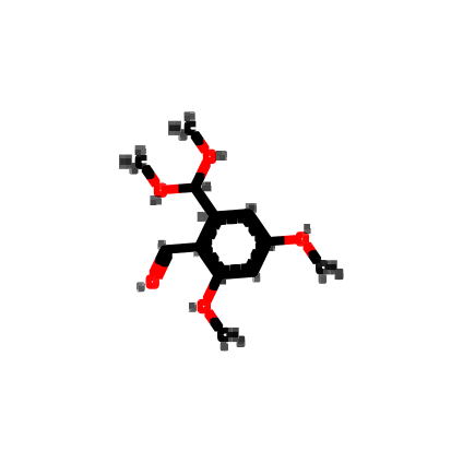 COc1cc(OC)c(C=O)c(C(OC)OC)c1